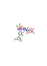 CC(C)(O)C(=O)N1CC[C@H](NS(=O)(=O)C(F)F)[C@@H]1Cc1cccc(-c2cc(F)cc(F)c2)c1F